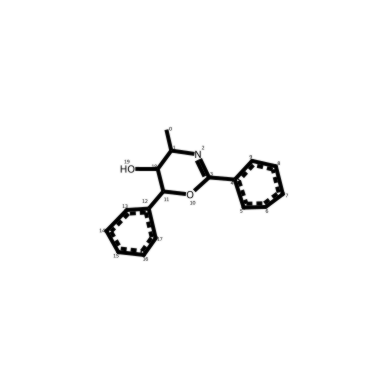 CC1N=C(c2ccccc2)OC(c2ccccc2)C1O